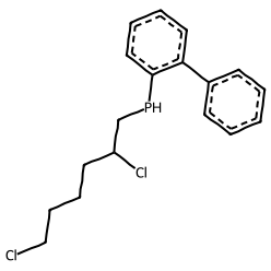 ClCCCCC(Cl)CPc1ccccc1-c1ccccc1